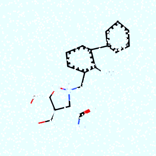 COc1c(CN2O[C@@H](CO)[C@H]([C@H](C)O)[C@H]2C(N)=O)cccc1-c1ccccc1